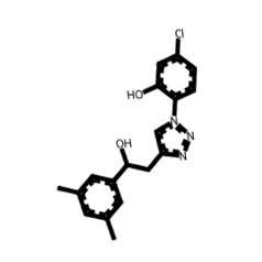 Cc1cc(C)cc(C(O)Cc2cn(-c3ccc(Cl)cc3O)nn2)c1